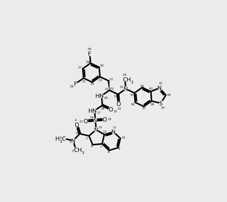 CN(C)C(=O)C1Cc2cccnc2N1S(=O)(=O)NC(=O)N[C@@H](Cc1cc(F)cc(F)c1)C(=O)N(C)c1ccc2scnc2c1